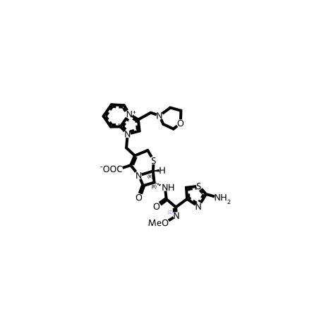 CO/N=C(\C(=O)N[C@@H]1C(=O)N2C(C(=O)[O-])=C(Cn3cc(CN4CCOCC4)[n+]4ccccc34)CS[C@H]12)c1csc(N)n1